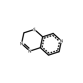 c1cc2c(cn1)SCN=N2